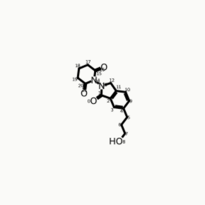 O=C1c2cc(CCCO)ccc2CN1N1C(=O)CCCC1=O